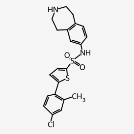 Cc1cc(Cl)ccc1-c1ccc(S(=O)(=O)Nc2ccc3c(c2)CCNCC3)s1